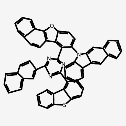 c1ccc2cc(-c3nc(-c4c(-n5c6ccccc6c6cc7ccccc7cc65)ccc5oc6c7ccccc7ccc6c45)nc(-c4cccc5sc6ccccc6c45)n3)ccc2c1